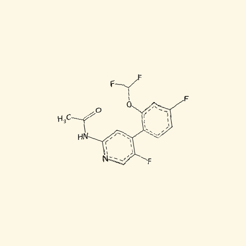 CC(=O)Nc1cc(-c2ccc(F)cc2OC(F)F)c(F)cn1